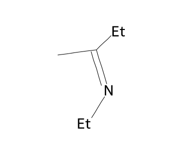 [CH2]CC(C)=NCC